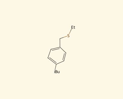 CCSCc1ccc(C(C)CC)cc1